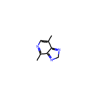 Cc1cnc(C)c2c1=NCN=2